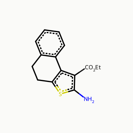 CCOC(=O)c1c(N)sc2c1-c1ccccc1CC2